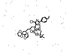 CC(C)(C)[S@@+]([O-])N[C@@H](CCCCCC1(c2ncco2)OCCO1)c1c(Cl)nc(-c2ccc(F)cc2)n1COCC[Si](C)(C)C